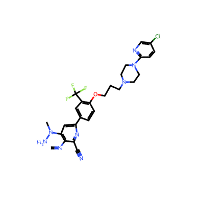 C=Nc1c(N(C)N)cc(-c2ccc(OCCCN3CCN(c4ccc(Cl)cn4)CC3)c(C(F)(F)F)c2)nc1C#N